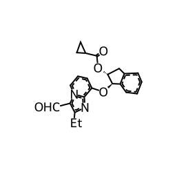 CCc1nc2c(O[C@@H]3c4ccccc4C[C@H]3OC(=O)C3CC3)cccn2c1C=O